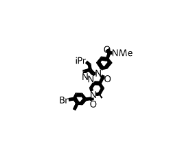 CNC(=O)c1ccc(-n2c(=O)c3c(n4ncc(CC(C)C)c24)CN(C(=O)c2ccc(Br)c(C)c2)[C@H](C)C3)cc1